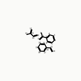 C=C(C)c1ccccc1.C=CC(=C)C.C=Cc1ccccc1